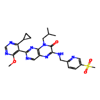 COc1ncnc(C2CC2)c1-c1ncc2nc(NCc3ccc(S(C)(=O)=O)cn3)c(=O)n(CC(C)C)c2n1